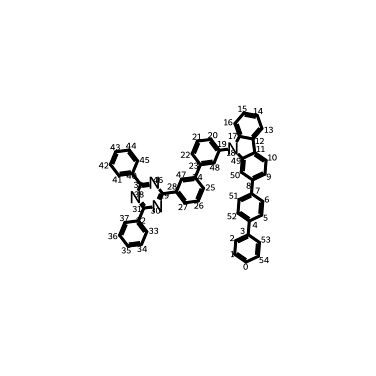 c1ccc(-c2ccc(-c3ccc4c5ccccc5n(-c5cccc(-c6cccc(-c7nc(-c8ccccc8)nc(-c8ccccc8)n7)c6)c5)c4c3)cc2)cc1